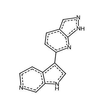 c1cc2c(-c3ccc4cn[nH]c4n3)c[nH]c2cn1